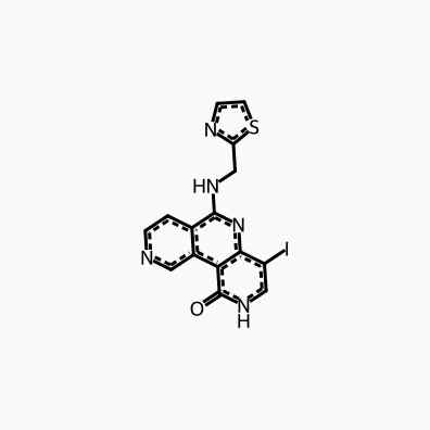 O=c1[nH]cc(I)c2nc(NCc3nccs3)c3ccncc3c12